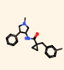 Cc1cccc(CC2(C(=O)NC3CN(C)CC3c3ccccc3)CC2)c1